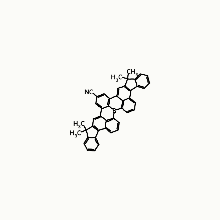 CC1(C)c2ccccc2-c2c1cc1c3c(cccc23)B2c3c-1cc(C#N)cc3-c1cc3c(c4cccc2c14)-c1ccccc1C3(C)C